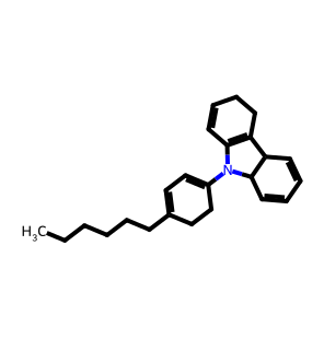 CCCCCCC1=CC=C(N2C3=C(CCC=C3)C3C=CC=CC32)CC1